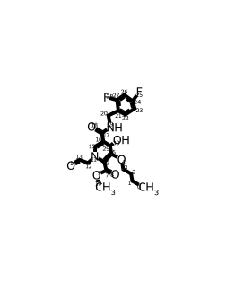 CCCCOC1=C(C(=O)OC)N(CC=O)C=C(C(=O)NCc2ccc(F)cc2F)C1O